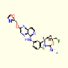 C[C@]1(c2cc(Nc3nccc4nc(OCc5ncco5)cnc34)ccc2F)N=C(N)S[C@@]2(CF)C[C@H]21